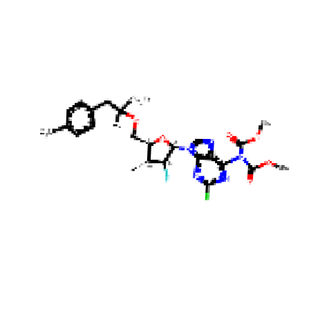 CCOC(=O)C(Cc1ccc([N+](=O)[O-])cc1)(OC[C@H]1O[C@@H](n2cnc3c(N(C(=O)OC(C)(C)C)C(=O)OC(C)(C)C)nc(Cl)nc32)[C@@H](F)[C@@H]1C)C(C)=O